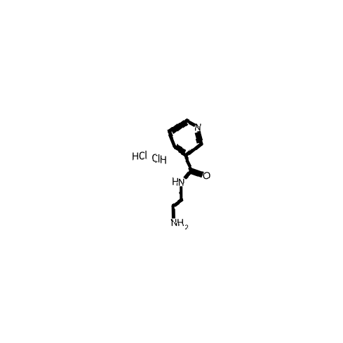 Cl.Cl.NCCNC(=O)c1cccnc1